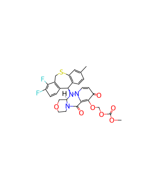 COC(=O)OCOc1c2n(ccc1=O)N([C@@H]1c3ccc(C)cc3SCc3c1ccc(F)c3F)[C@@H]1COCCN1C2=O